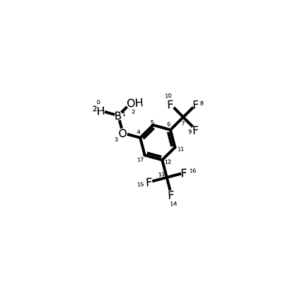 [2H]B(O)Oc1cc(C(F)(F)F)cc(C(F)(F)F)c1